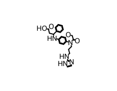 O=C(O)CC(Nc1ccc2c(c1)OCC(=O)N2CCCNc1ncc[nH]1)c1ccccc1